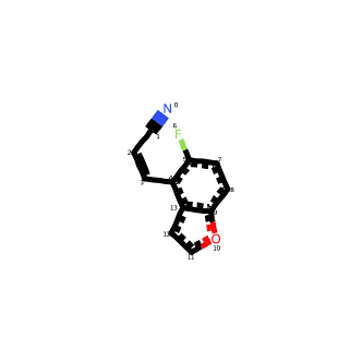 N#C/C=C\c1c(F)ccc2occc12